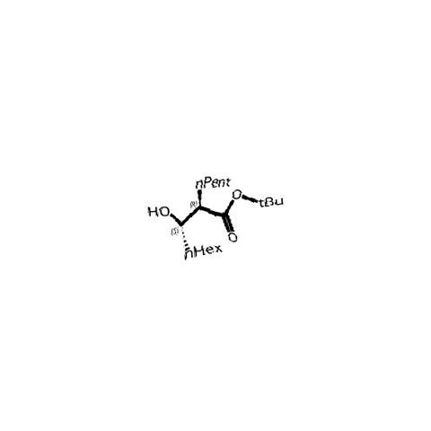 CCCCCC[C@H](O)[C@@H](CCCCC)C(=O)OC(C)(C)C